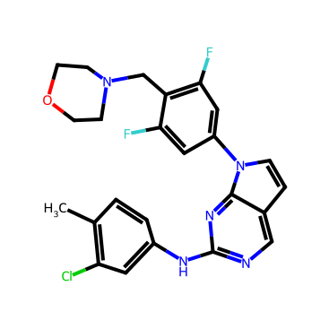 Cc1ccc(Nc2ncc3ccn(-c4cc(F)c(CN5CCOCC5)c(F)c4)c3n2)cc1Cl